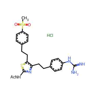 CC(=O)Nc1nc(CCc2ccc(NC(=N)N)cc2)c(CCc2ccc(S(C)(=O)=O)cc2)s1.Cl